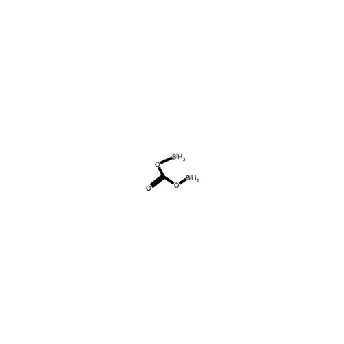 O=C([O][BiH2])[O][BiH2]